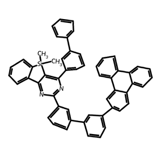 C[Si]1(C)c2ccccc2-c2nc(-c3cccc(-c4cccc(-c5ccc6c7ccccc7c7ccccc7c6c5)c4)c3)nc(-c3cccc(-c4ccccc4)c3)c21